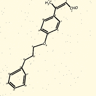 C/C(=C/C=O)c1ccc(OCCCc2ccccc2)cc1